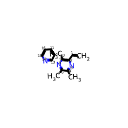 C=Cc1nc(C)c(C)nc1C.c1ccncc1